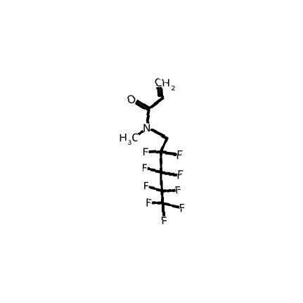 C=CC(=O)N(C)CC(F)(F)C(F)(F)C(F)(F)C(F)(F)F